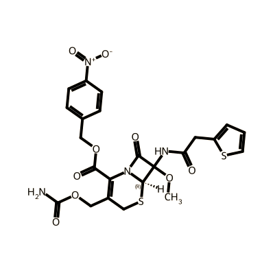 COC1(NC(=O)Cc2cccs2)C(=O)N2C(C(=O)OCc3ccc([N+](=O)[O-])cc3)=C(COC(N)=O)CS[C@@H]21